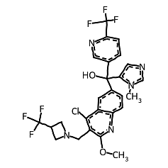 COc1nc2ccc(C(O)(c3ccc(C(F)(F)F)nc3)c3cncn3C)cc2c(Cl)c1CN1CC(C(F)(F)F)C1